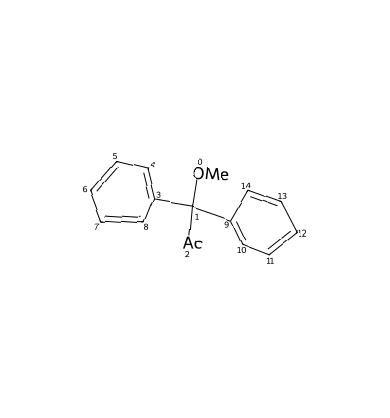 COC(C(C)=O)(c1ccccc1)c1ccccc1